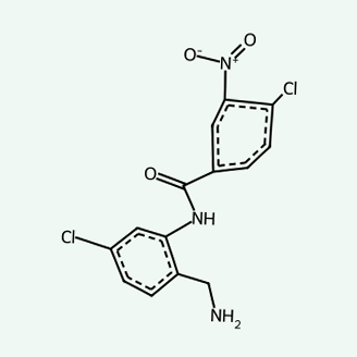 NCc1ccc(Cl)cc1NC(=O)c1ccc(Cl)c([N+](=O)[O-])c1